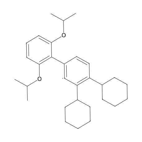 CC(C)Oc1cccc(OC(C)C)c1-c1[c]c(C2CCCCC2)c(C2CCCCC2)cc1